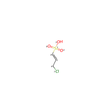 O=S(=O)(O)C=CCCl